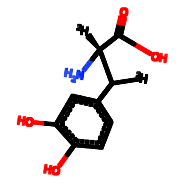 [2H]C(c1ccc(O)c(O)c1)[C@]([2H])(N)C(=O)O